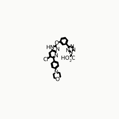 O=C(O)Cn1nnc(-c2cccc(Oc3nc4nc(-c5ccc(N6CCOCC6)cc5)c(Cl)cc4[nH]3)c2)n1